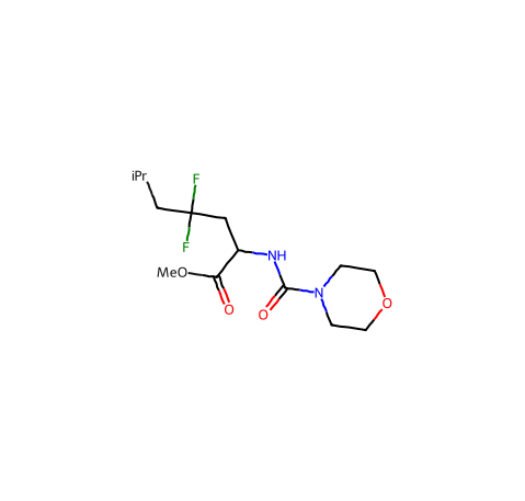 COC(=O)C(CC(F)(F)CC(C)C)NC(=O)N1CCOCC1